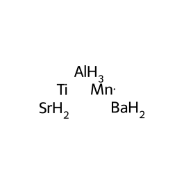 [AlH3].[BaH2].[Mn].[SrH2].[Ti]